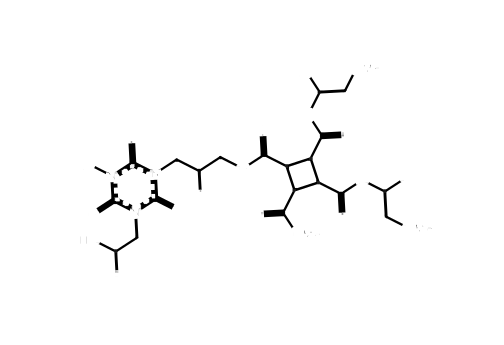 CCC(O)Cn1c(=O)n(C)c(=O)n(CC(O)COC(=O)C2C(C(=O)OC)C(C(=O)OC(C)COC)C2C(=O)OC(C)COC)c1=O